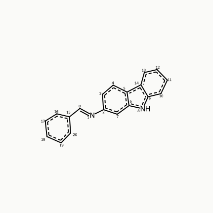 C(=N\c1ccc2c(c1)[nH]c1ccccc12)/c1ccccc1